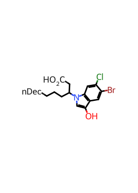 CCCCCCCCCCCCCC(CC(=O)O)n1cc(O)c2cc(Br)c(Cl)cc21